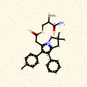 CC(=O)NC(CSC(=O)Cc1c(-c2ccc(C)cc2)c(-c2ccccc2)c2n1CC(C)(C)C2)C(N)=O